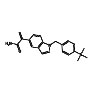 C=C(C(N)=O)c1ccc2c(ccn2Cc2ccc([Si](C)(C)C)cc2)c1